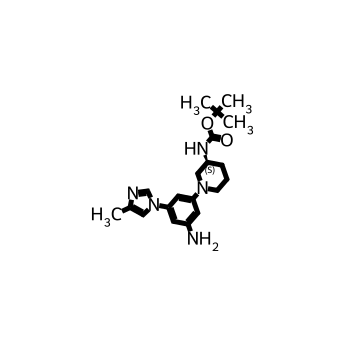 Cc1cn(-c2cc(N)cc(N3CCC[C@H](NC(=O)OC(C)(C)C)C3)c2)cn1